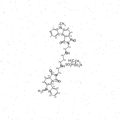 CS(=O)(=O)O.CS(=O)(=O)O.Cn1c2ccccc2c2c3c(ccc21)C(=O)N(CCNCCCNCCN1C(=O)c2ccc4c(c2C1=O)c1ccccc1n4C)C3=O